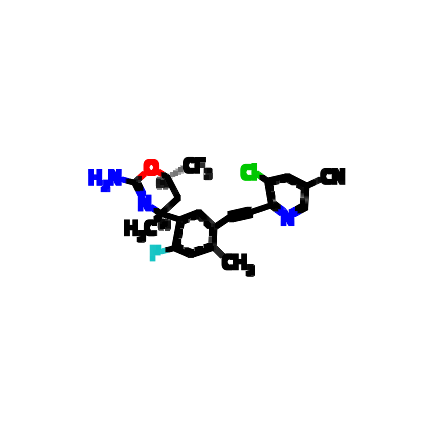 Cc1cc(F)c([C@@]2(C)C[C@@H](C(F)(F)F)OC(N)=N2)cc1C#Cc1ncc(C#N)cc1Cl